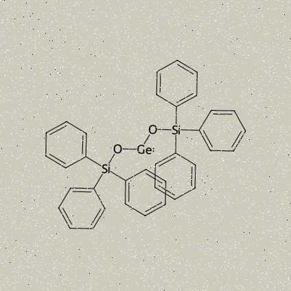 c1ccc([Si]([O][Ge][O][Si](c2ccccc2)(c2ccccc2)c2ccccc2)(c2ccccc2)c2ccccc2)cc1